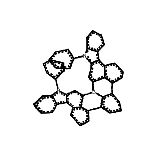 c1ccc(-n2c3ccccc3c3c4cccc5c4c(cc32)B2c3c-5cccc3-c3cccc4c3c2cc2c4c3ccccc3n2-c2ccccc2)cc1